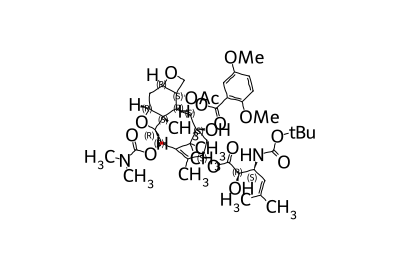 COc1ccc(OC)c(C(=O)O[C@H]2[C@@H]3[C@]4(OC(C)=O)CO[C@@H]4C[C@H]4O[C@@H]([C@H](OC(=O)N(C)C)C5=C(C)[C@@H](OC(=O)[C@H](O)[C@H](C=C(C)C)NC(=O)OC(C)(C)C)C[C@]2(O)C5(C)C)[C@@]34C)c1